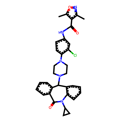 Cc1noc(C)c1C(=O)Nc1ccc(N2CCN(C3c4ccccc4C(=O)N(C4CC4)c4ccccc43)CC2)c(Cl)c1